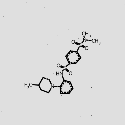 CN(C)S(=O)(=O)c1ccc(S(=O)(=O)Nc2ccccc2N2CCC(C(F)(F)F)CC2)cc1